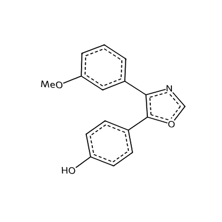 COc1cccc(-c2ncoc2-c2ccc(O)cc2)c1